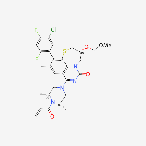 C=CC(=O)N1[C@H](C)CN(c2nc(=O)n3c4c(c(-c5cc(Cl)c(F)cc5F)c(C)cc24)SC[C@H](OCOC)C3)C[C@@H]1C